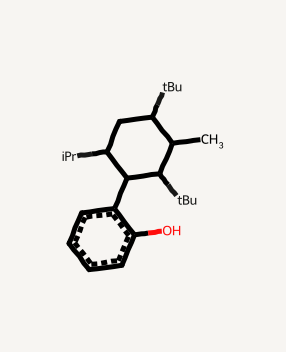 CC(C)C1CC(C(C)(C)C)C(C)C(C(C)(C)C)C1c1ccccc1O